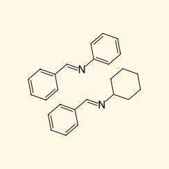 C(=NC1CCCCC1)c1ccccc1.C(=Nc1ccccc1)c1ccccc1